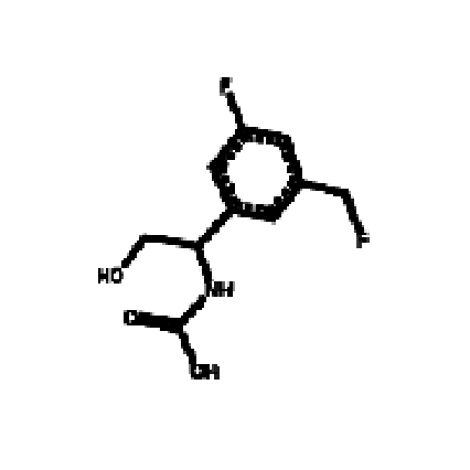 O=C(O)NC(CO)c1cc(F)cc(CF)c1